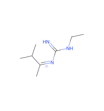 CCNC(=N)/N=C(/C)C(C)C